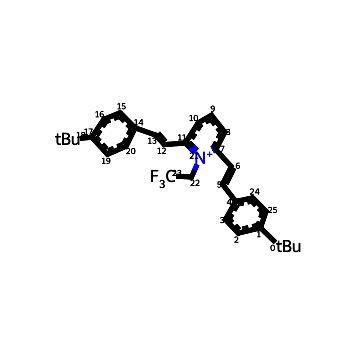 CC(C)(C)c1ccc(/C=C/c2cccc(/C=C/c3ccc(C(C)(C)C)cc3)[n+]2CC(F)(F)F)cc1